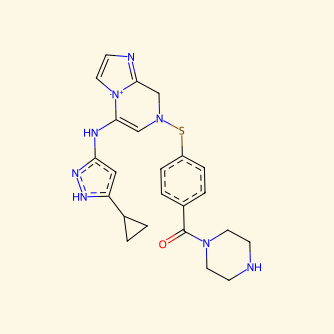 O=C(c1ccc(SN2C=C(Nc3cc(C4CC4)[nH]n3)[N+]3C=CN=C3C2)cc1)N1CCNCC1